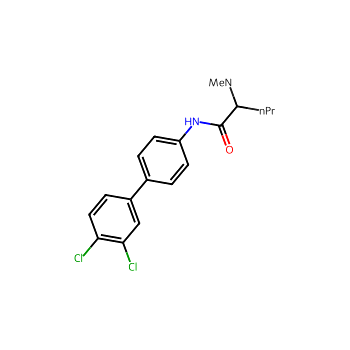 CCCC(NC)C(=O)Nc1ccc(-c2ccc(Cl)c(Cl)c2)cc1